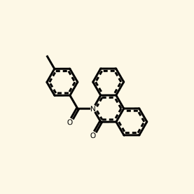 Cc1ccc(C(=O)n2c(=O)c3ccccc3c3ccccc32)cc1